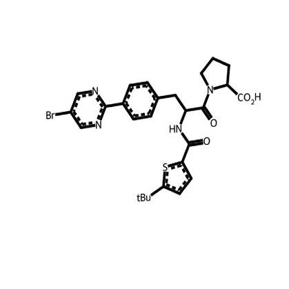 CC(C)(C)c1ccc(C(=O)NC(Cc2ccc(-c3ncc(Br)cn3)cc2)C(=O)N2CCCC2C(=O)O)s1